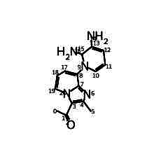 CC(=O)c1c(C)nc2c(N3C=CC=C(N)C3N)cccn12